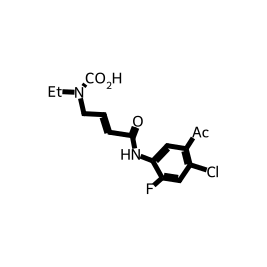 CCN(CC=CC(=O)Nc1cc(C(C)=O)c(Cl)cc1F)C(=O)O